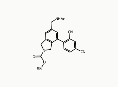 CC(=O)NCc1cc2c(c(-c3ccc(C#N)cc3C#N)c1)CN(C(=O)OC(C)(C)C)C2